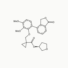 COc1ccc(-c2cccc3c2COC3=O)c(OCC2(C(=O)O[C@H]3CCOC3)CC2)c1OC